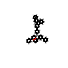 c1ccc(-c2ccc(N(c3ccc(-c4ccc5c(c4)-c4ccccc4C54CC5CCC6CC5CC4C6)cc3)c3ccc(-c4ccccc4)cc3-c3ccccc3)cc2)cc1